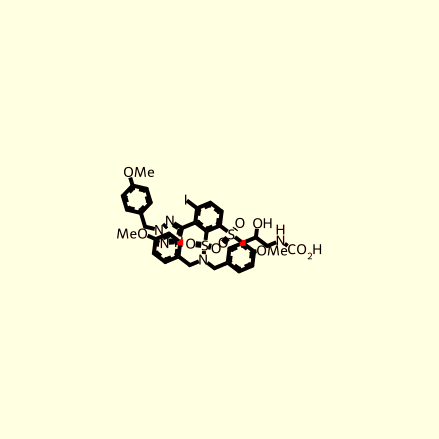 COc1ccc(CN(Cc2ccc(OC)cc2)S(=O)(=O)c2c(S(=O)(=O)CC(O)CNC(=O)O)ccc(I)c2-c2nnn(Cc3ccc(OC)cc3)n2)cc1